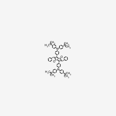 CN(C)c1ccc(N(c2ccc(C3=C4C(=O)N(Cc5ccccc5)C(c5ccc(N(c6ccc(N(C)C)cc6)c6ccc(N(C)C)cc6)cc5)=C4C(=O)N3Cc3ccccc3)cc2)c2ccc(N(C)C)cc2)cc1